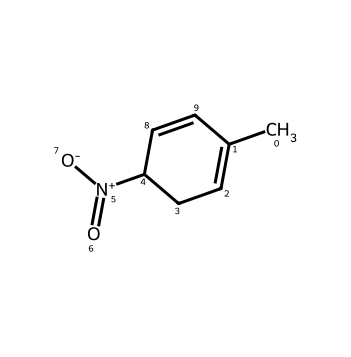 CC1=CCC([N+](=O)[O-])C=C1